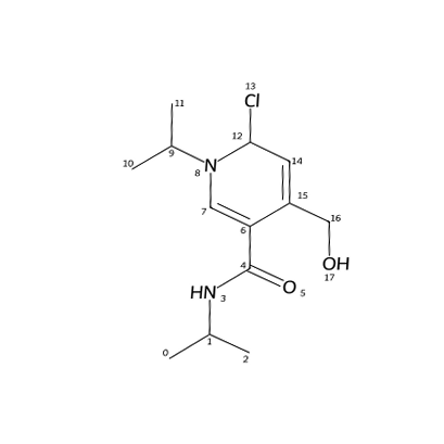 CC(C)NC(=O)C1=CN(C(C)C)C(Cl)C=C1CO